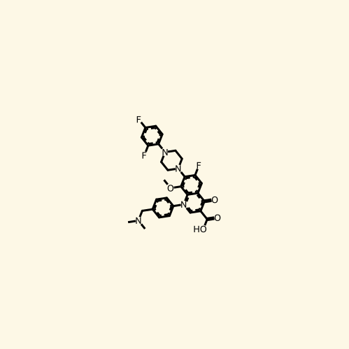 COc1c(N2CCN(c3ccc(F)cc3F)CC2)c(F)cc2c(=O)c(C(=O)O)cn(-c3ccc(CN(C)C)cc3)c12